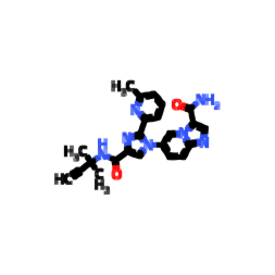 C#CC(C)(C)NC(=O)c1cn(-c2ccc3ncc(C(N)=O)n3c2)c(-c2cccc(C)n2)n1